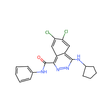 O=C(Nc1ccccc1)c1nnc(NC2CCCC2)c2cc(Cl)c(Cl)cc12